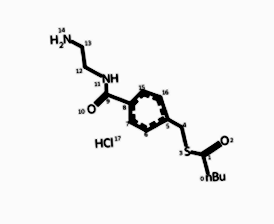 CCCCC(=O)SCc1ccc(C(=O)NCCN)cc1.Cl